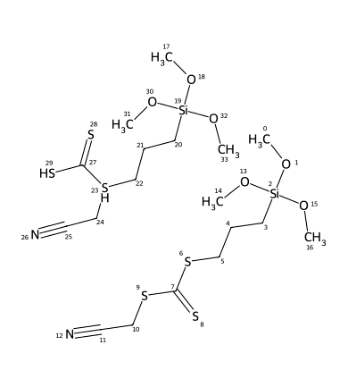 CO[Si](CCCSC(=S)SCC#N)(OC)OC.CO[Si](CCC[SH](CC#N)C(=S)S)(OC)OC